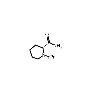 CCCN1CCC[CH][C@@H]1C(N)=O